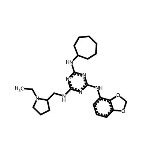 CCN1CCCC1CNc1nc(Nc2cccc3c2OCO3)nc(NC2CCCCCC2)n1